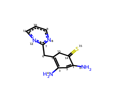 NC1=CC(N)=C(Cc2ncccn2)CC1=S